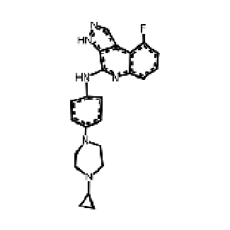 Fc1cccc2nc(Nc3ccc(N4CCN(C5CC5)CC4)cc3)c3[nH]ncc3c12